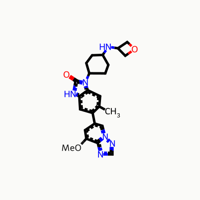 COc1cc(-c2cc3[nH]c(=O)n(C4CCC(NC5COC5)CC4)c3cc2C)cn2ncnc12